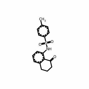 Cc1ccc(S(=O)(=O)Nc2cccc3c2C(=O)CCC3)cc1